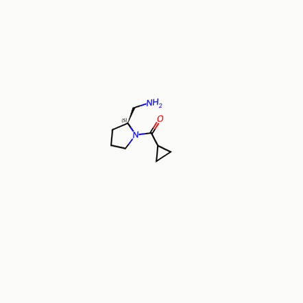 NC[C@@H]1CCCN1C(=O)C1CC1